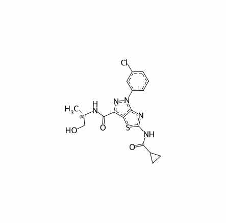 C[C@@H](CO)NC(=O)c1nn(-c2cccc(Cl)c2)c2nc(NC(=O)C3CC3)sc12